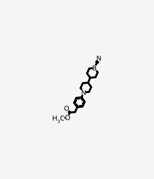 COC(=O)Cc1ccc(N2CCC(C3CCB(C#N)CC3)CC2)cc1